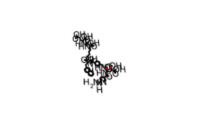 NNc1ccc(C(=O)NC(CC(C(=O)O)C(=O)O)C(=O)NCc2ccc(C(=O)NC(Cc3ccc4ccccc4c3)C(=O)NCCCCC(NC(=O)NC(CCC(=O)O)C(=O)O)C(=O)O)cc2)cn1